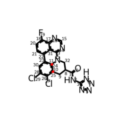 O=C(Nc1nnn[nH]1)C1CCCN(c2ncnc3c(F)ccc(-c4ccc(Cl)c(Cl)c4)c23)C1